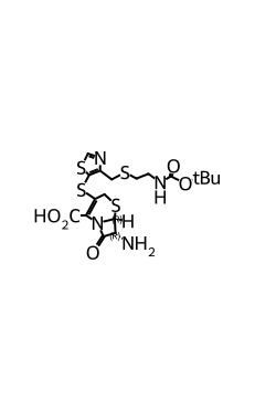 CC(C)(C)OC(=O)NCCSCc1ncsc1SC1=C(C(=O)O)N2C(=O)[C@@H](N)[C@H]2SC1